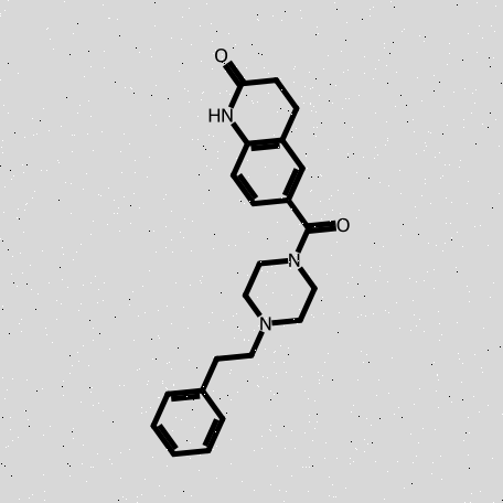 O=C1CCc2cc(C(=O)N3CCN(CCc4ccccc4)CC3)ccc2N1